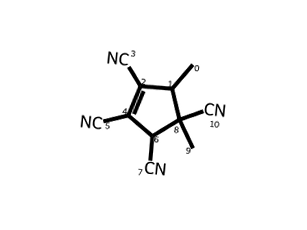 CC1C(C#N)=C(C#N)C(C#N)C1(C)C#N